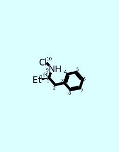 CC[C@H](Cc1ccccc1)NCl